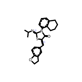 CC(C)/N=C1\S/C(=C\c2ccc3c(c2)CCO3)C(=O)N1c1cccc2c1CCCC2